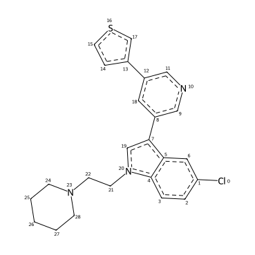 Clc1ccc2c(c1)c(-c1cncc(-c3ccsc3)c1)cn2CCN1CCCCC1